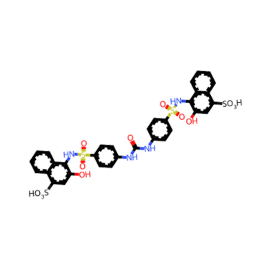 O=C(Nc1ccc(S(=O)(=O)Nc2c(O)cc(S(=O)(=O)O)c3ccccc23)cc1)Nc1ccc(S(=O)(=O)Nc2c(O)cc(S(=O)(=O)O)c3ccccc23)cc1